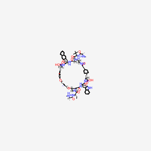 CC[C@H](NC(=O)[C@H](C)NC)C(=O)N1C[C@@H]2C[C@H]1C(=O)N[C@@H](Cc1c[nH]c3ccccc13)C(=O)N[C@H](C(=O)O)Cc1ccc(cc1)C(=O)N[C@H]1C[C@@H](C(=O)N[C@@H](Cc3ccc4ccccc4c3)C(=O)N[C@H](C(=O)O)Cc3ccc(cc3)OC/C=C/CO2)N(C(=O)[C@@H](NC(=O)[C@H](C)NC)C(C)(C)C)C1